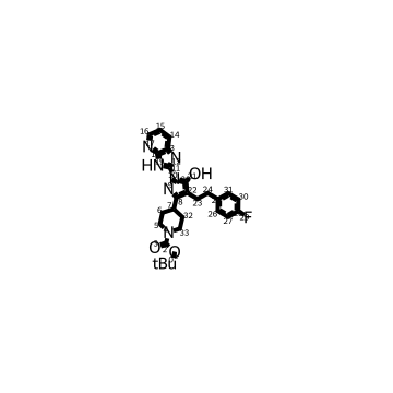 CC(C)(C)OC(=O)N1CCC(c2nn(-c3nc4cccnc4[nH]3)c(O)c2CCc2ccc(F)cc2)CC1